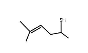 CC(C)=CCC(C)S